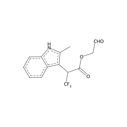 Cc1[nH]c2ccccc2c1C(C(=O)OCC=O)C(F)(F)F